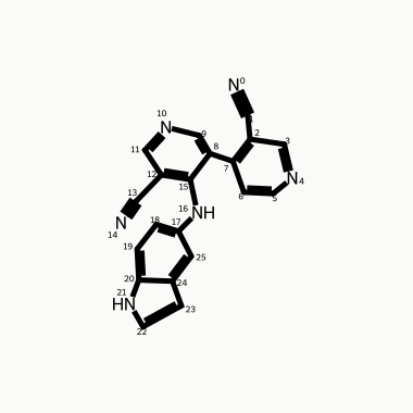 N#Cc1cnccc1-c1cncc(C#N)c1Nc1ccc2[nH]ccc2c1